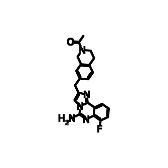 CC(=O)N1CCc2ccc(Cc3cn4c(N)nc5c(F)cccc5c4n3)cc2C1